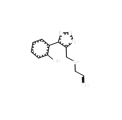 C=CCNCc1[nH]nnc1-c1ccccc1C